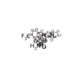 CS(=O)(=O)CC(=O)N(CCN1C2CCC1CC(c1cccc(C(N)=O)c1)C2)CC1CCC(C(F)(F)F)CC1